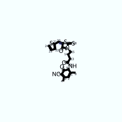 CC1=CC(C)=C(C#N)C(=O)C1NC(=O)CCCN1C(=O)/C(=C\c2cccs2)SC1=S